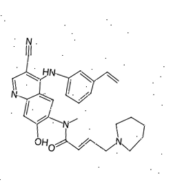 C=Cc1cccc(Nc2c(C#N)cnc3cc(O)c(N(C)C(=O)/C=C/CN4CCCCC4)cc23)c1